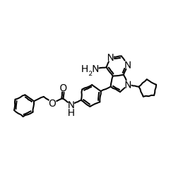 Nc1ncnc2c1c(-c1ccc(NC(=O)OCc3ccccc3)cc1)cn2C1CCCC1